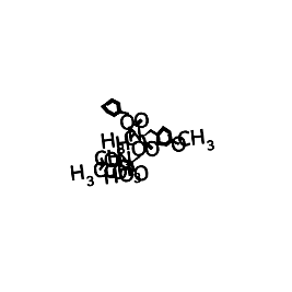 COc1ccc(C[C@@H](C(=O)OC[C@H](NC(=O)OC(C)(C)C)C(=O)O)N(C)C(=O)OCc2ccccc2)cc1